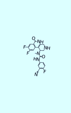 CN(C(=O)Nc1ccc(F)c(C#N)c1)[C@@H]1CNCc2[nH]c(=O)c3cc(F)c(F)cc3c21